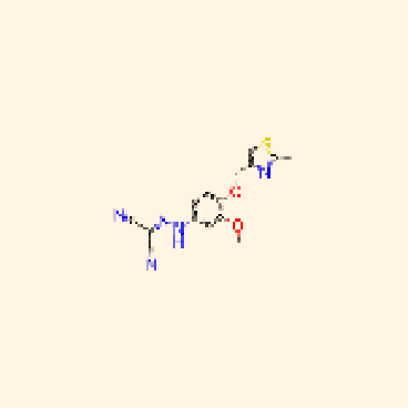 COc1cc(NN=C(C#N)C#N)ccc1OCc1csc(C)n1